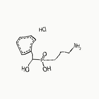 Cl.NCCCP(=O)(O)C(O)c1ccccc1